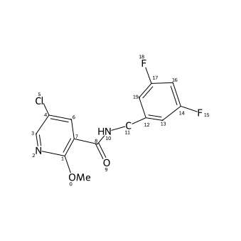 COc1ncc(Cl)cc1C(=O)NCc1cc(F)cc(F)c1